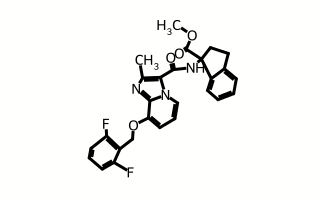 COC(=O)C1(NC(=O)c2c(C)nc3c(OCc4c(F)cccc4F)cccn23)CCc2ccccc21